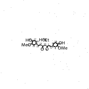 CCO.COc1cc(C=CC(=O)CC(=O)C=Cc2ccc(O)c(OC)c2)ccc1O